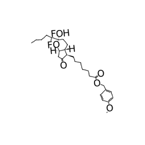 CCCCC(F)(F)[C@@]1(O)CC[C@H]2[C@@H](CC(=O)[C@@H]2CCCCCCC(=O)OCc2ccc(OC)cc2)O1